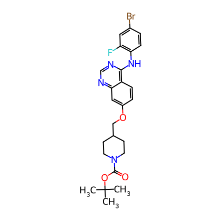 CC(C)(C)OC(=O)N1CCC(COc2ccc3c(Nc4ccc(Br)cc4F)ncnc3c2)CC1